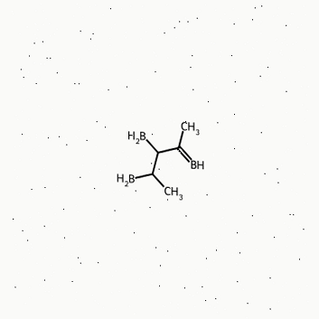 B=C(C)C(B)C(B)C